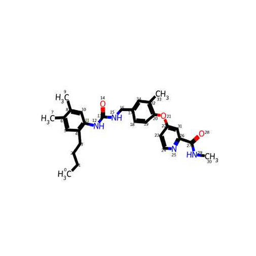 CCCCc1cc(C)c(C)cc1NC(=O)NCc1ccc(Oc2ccnc(C(=O)NC)c2)c(C)c1